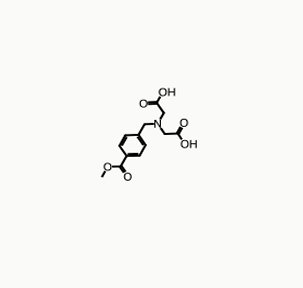 COC(=O)c1ccc(CN(CC(=O)O)CC(=O)O)cc1